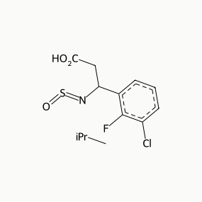 CC(C)C.O=S=NC(CC(=O)O)c1cccc(Cl)c1F